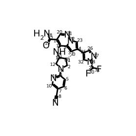 C[C@@H]1CN(c2ccc(C#N)cn2)C[C@H]1Nc1c(C(N)=O)cnn2cc(-c3cnn(C(F)F)c3)cc12